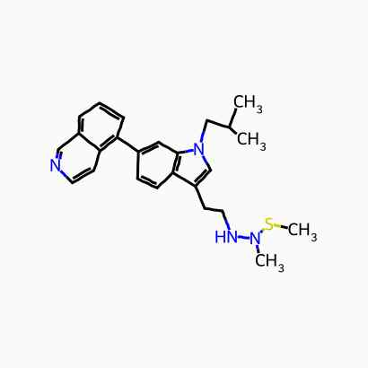 CSN(C)NCCc1cn(CC(C)C)c2cc(-c3cccc4cnccc34)ccc12